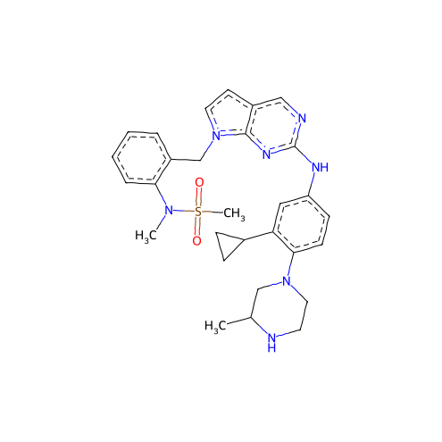 CC1CN(c2ccc(Nc3ncc4ccn(Cc5ccccc5N(C)S(C)(=O)=O)c4n3)cc2C2CC2)CCN1